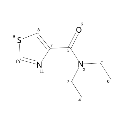 CCN(CC)C(=O)c1cs[c]n1